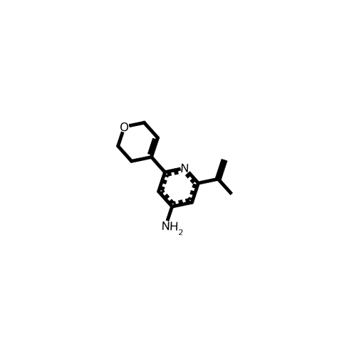 C=C(C)c1cc(N)cc(C2=CCOCC2)n1